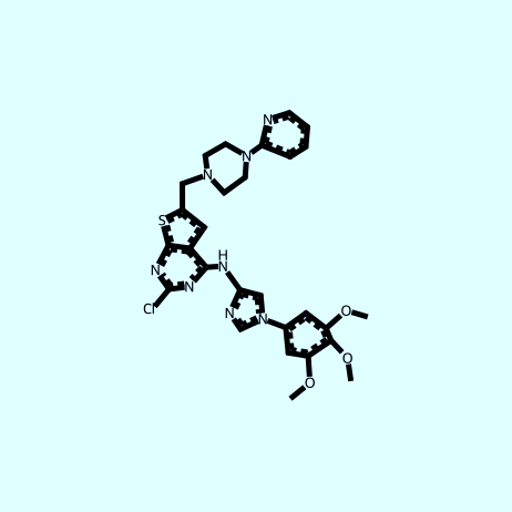 COc1cc(-n2cnc(Nc3nc(Cl)nc4sc(CN5CCN(c6ccccn6)CC5)cc34)c2)cc(OC)c1OC